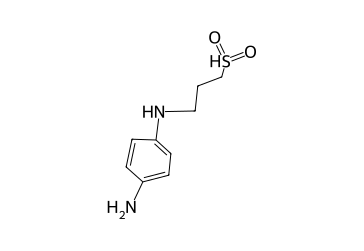 Nc1ccc(NCCC[SH](=O)=O)cc1